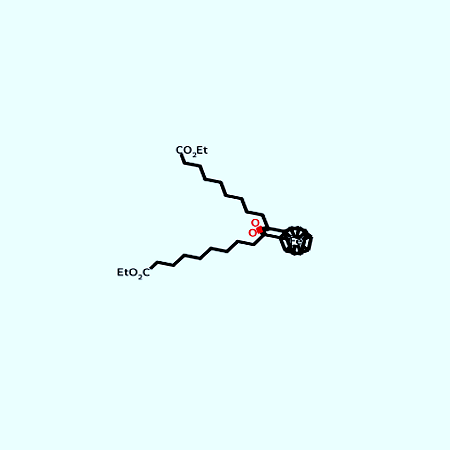 CCOC(=O)CCCCCCCCC(=O)[C]12[CH]3[CH]4[CH]5[CH]1[Fe]45321678[CH]2[CH]1[CH]6[C]7(C(=O)CCCCCCCCC(=O)OCC)[CH]28